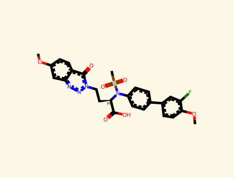 COc1ccc2c(=O)n(CC[C@H](C(=O)O)N(c3ccc(-c4ccc(OC)c(F)c4)cc3)S(C)(=O)=O)nnc2c1